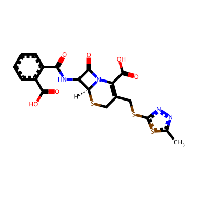 Cc1nnc(SCC2=C(C(=O)O)N3C(=O)C(NC(=O)c4ccccc4C(=O)O)[C@@H]3SC2)s1